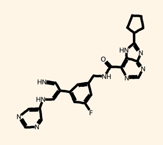 N=C/C(=C\Nc1cncnc1)c1cc(F)cc(CNC(=O)c2ncnc3nc(C4CCCC4)[nH]c23)c1